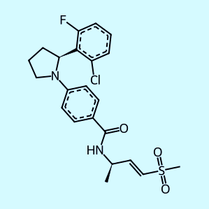 C[C@H](/C=C/S(C)(=O)=O)NC(=O)c1ccc(N2CCC[C@H]2c2c(F)cccc2Cl)cc1